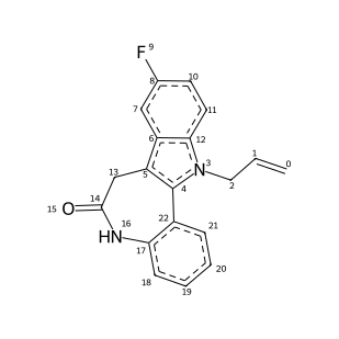 C=CCn1c2c(c3cc(F)ccc31)CC(=O)Nc1ccccc1-2